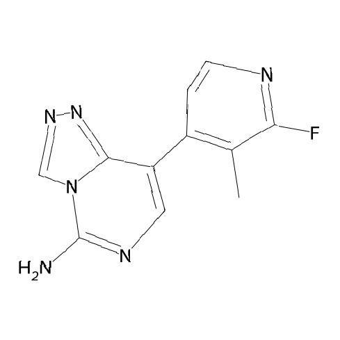 Cc1c(-c2cnc(N)n3cnnc23)ccnc1F